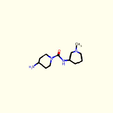 CN1CCCC(NC(=O)N2CCC(N)CC2)C1